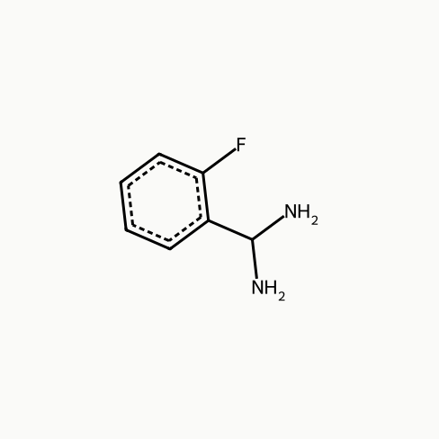 NC(N)c1ccccc1F